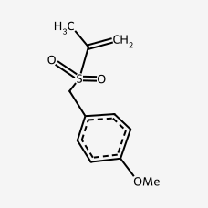 C=C(C)S(=O)(=O)Cc1ccc(OC)cc1